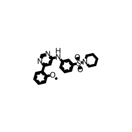 COc1ccccc1-c1cc(Nc2cccc(S(=O)(=O)N3CCCCC3)c2)ncn1